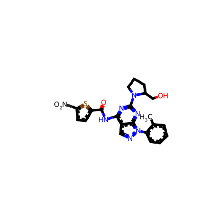 Cc1ccccc1-n1ncc2c(NC(=O)c3ccc([N+](=O)[O-])s3)nc(N3CCCC3CO)nc21